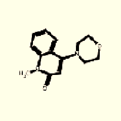 Cn1c(=O)cc(N2CCOCC2)c2ccccc21